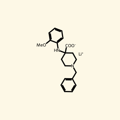 COc1ccccc1NC1(C(=O)[O-])CCN(Cc2ccccc2)CC1.[Li+]